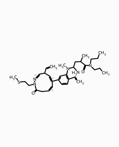 C=Cc1ccc(C2=C/C(C=C)/C=N\N(CCSC)C(=O)C/C=C\2)cc1N(C)C(N)CC(C)C(=O)N(CCC)CCC